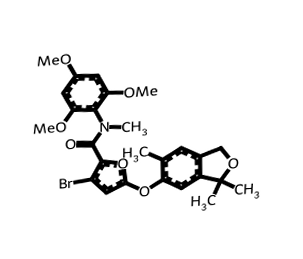 COc1cc(OC)c(N(C)C(=O)c2oc(Oc3cc4c(cc3C)COC4(C)C)cc2Br)c(OC)c1